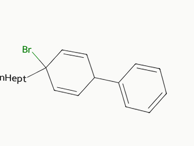 CCCCCCCC1(Br)C=CC(c2ccccc2)C=C1